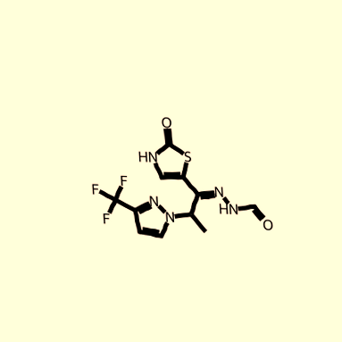 CC(C(=NNC=O)c1c[nH]c(=O)s1)n1ccc(C(F)(F)F)n1